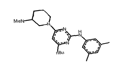 CCCCc1cc(N2CCCC(NC)C2)nc(Nc2cc(C)cc(C)c2)n1